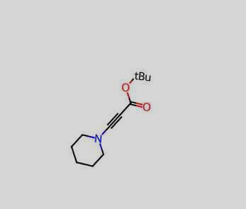 CC(C)(C)OC(=O)C#CN1CCCCC1